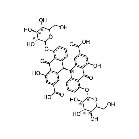 O=C(O)c1cc(O)c2c(c1)C([C@H]1c3cc(C(=O)O)cc(O)c3C(=O)c3c(O[C@@H]4OC(CO)[C@@H](O)[C@H](O)[C@H]4O)cccc31)c1cccc(OC3OC(CO)[C@@H](O)[C@H](O)[C@H]3O)c1C2=O